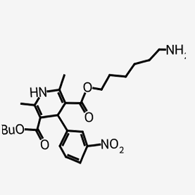 CC1=C(C(=O)OCCCCCCN)C(c2cccc([N+](=O)[O-])c2)C(C(=O)OCC(C)C)=C(C)N1